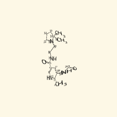 CC1NC=C(C(=O)NCCN2CCCC2(C)C)C=C1NC=O